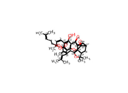 CC(C)=CCCC1(C)C=Cc2c(O)c3c(c(CC=C(C)C)c2O1)OC12C(=CC4CC1C(C)(C)OC2(CC=C(C)C(=O)O)C4=O)C3=O